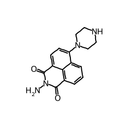 NN1C(=O)c2cccc3c(N4CCNCC4)ccc(c23)C1=O